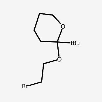 CC(C)(C)C1(OCCBr)CCCCO1